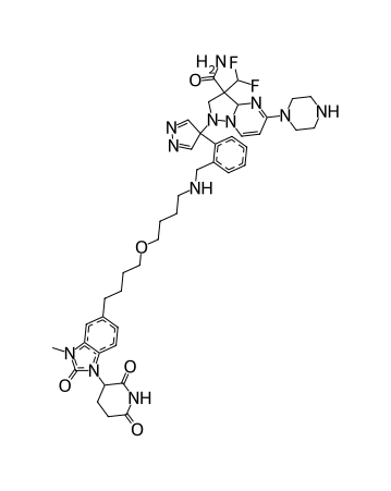 Cn1c(=O)n(C2CCC(=O)NC2=O)c2ccc(CCCCOCCCCNCc3ccccc3C3(N4CC(C(N)=O)(C(F)F)C5N=C(N6CCNCC6)C=CN54)C=NN=C3)cc21